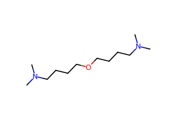 CN(C)CCCCOCCCCN(C)C